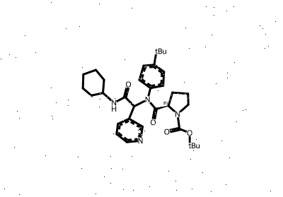 CC(C)(C)OC(=O)N1CCC[C@@H]1C(=O)N(c1ccc(C(C)(C)C)cc1)C(C(=O)NC1CCCCC1)c1cccnc1